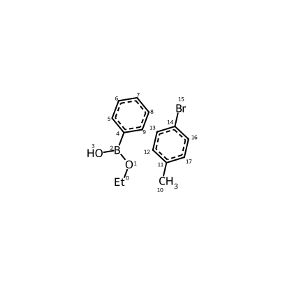 CCOB(O)c1ccccc1.Cc1ccc(Br)cc1